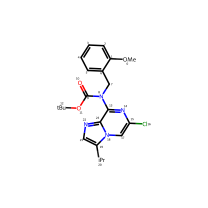 COc1ccccc1CN(C(=O)OC(C)(C)C)c1nc(Cl)cn2c(C(C)C)cnc12